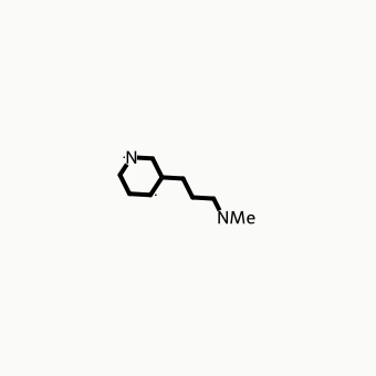 CNCCCC1[CH]CC[N]C1